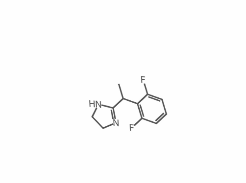 CC(C1=NCCN1)c1c(F)cccc1F